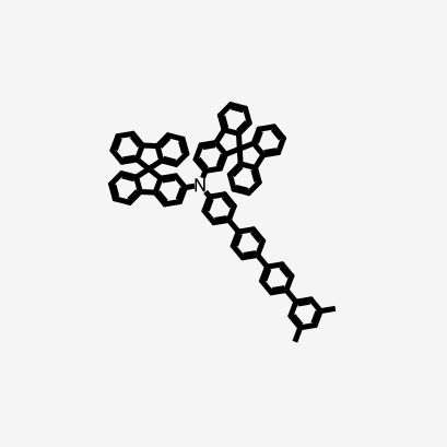 Cc1cc(C)cc(-c2ccc(-c3ccc(-c4ccc(N(c5ccc6c(c5)C5(c7ccccc7-c7ccccc75)c5ccccc5-6)c5ccc6c(c5)C5(c7ccccc7-c7ccccc75)c5ccccc5-6)cc4)cc3)cc2)c1